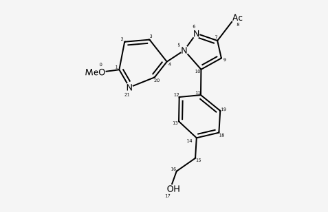 COc1ccc(-n2nc(C(C)=O)cc2-c2ccc(CCO)cc2)cn1